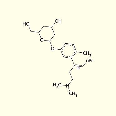 CCC/C=C(/CCN(C)C)c1cc(OC2CC(O)CC(CO)O2)ccc1C